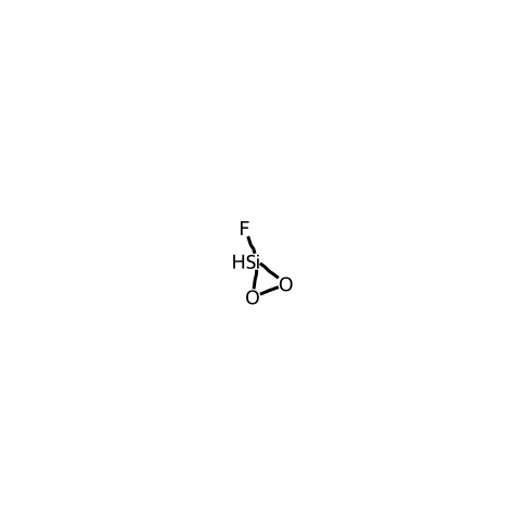 F[SiH]1OO1